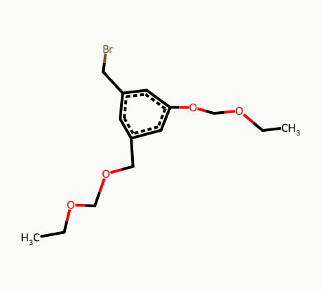 CCOCOCc1cc(CBr)cc(OCOCC)c1